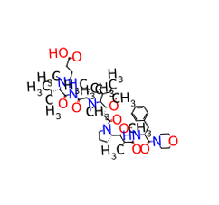 CC[C@H](C)[C@@H]([C@@H](CC(=O)N1CCC[C@H]1[C@H](OC)[C@@H](C)C(=O)N[C@@H](Cc1ccccc1)C(=O)N1CCOCC1)OC)N(C)[C@H](C(=O)NC(=O)[C@H](C(C)C)N(C)CCCC(=O)O)C(C)C